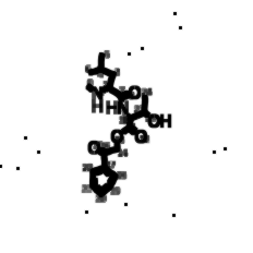 CNC(CC(C)C)C(=O)N[C@@H](C(=O)OCC(=O)c1ccccc1)C(C)O